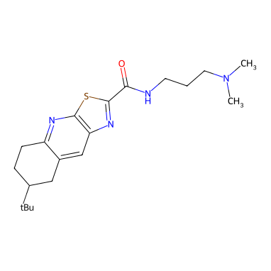 CN(C)CCCNC(=O)c1nc2cc3c(nc2s1)CCC(C(C)(C)C)C3